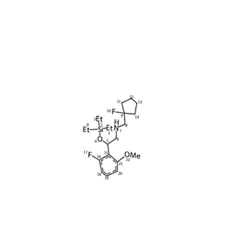 CC[Si](CC)(CC)OC(CNCC1(F)CCCC1)c1c(F)cccc1OC